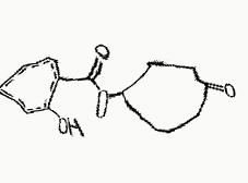 O=C1CCCC(OC(=O)c2ccccc2O)CCC1